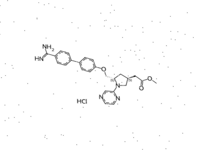 COC(=O)C[C@@H]1C[C@@H](COc2ccc(-c3ccc(C(=N)N)cc3)cc2)N(c2cnccn2)C1.Cl